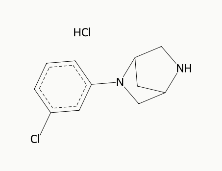 Cl.Clc1cccc(N2CC3CC2CN3)c1